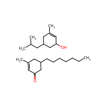 CC1=CC(O)CC(CC(C)C)C1.CCCCCCCC1CC(=O)C=C(C)C1